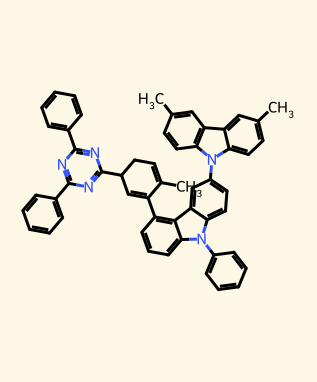 CC1=CCC(c2nc(-c3ccccc3)nc(-c3ccccc3)n2)C=C1c1cccc2c1c1cc(-n3c4ccc(C)cc4c4cc(C)ccc43)ccc1n2-c1ccccc1